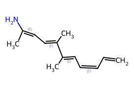 C=C\C=C/C=C(C)/C(C)=C/C=C(\C)N